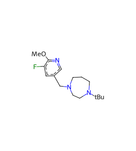 COc1ncc(CN2CCCN(C(C)(C)C)CC2)cc1F